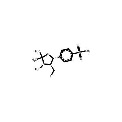 CN1[C@H](CF)[C@@H](c2ccc(S(C)(=O)=O)cc2)OC1(C)C